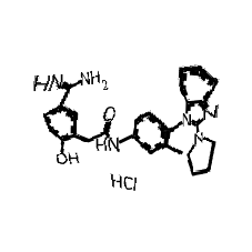 Cc1cc(NC(=O)Cc2cc(C(=N)N)ccc2O)ccc1-n1c(N2CCCC2)nc2ccccc21.Cl